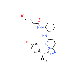 C[C@@H](c1ccc(O)cc1)c1nnc2ccc(N[C@H]3CCCC[C@@H]3NC(=O)CCCO)nn12